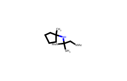 CNCC([SiH3])(NC)NC1(C)CCCC1